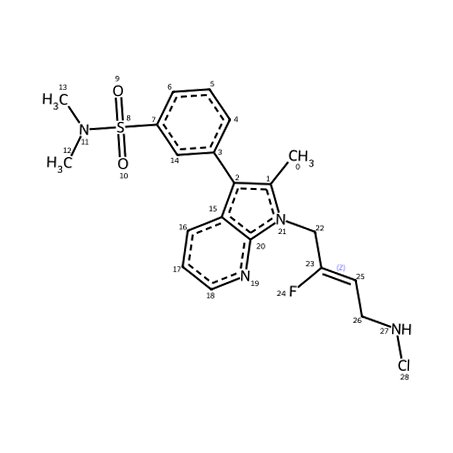 Cc1c(-c2cccc(S(=O)(=O)N(C)C)c2)c2cccnc2n1C/C(F)=C/CNCl